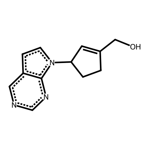 OCC1=CC(n2ccc3cncnc32)CC1